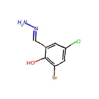 NN=Cc1cc(Cl)cc(Br)c1O